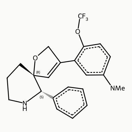 CNc1ccc(OC(F)(F)F)c(C2=C[C@@]3(CCCN[C@H]3c3ccccc3)OC2)c1